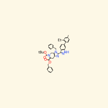 CCc1cc(C)ccc1-c1ccc2c(-c3nc4c(n3Cc3ccccc3)CN(C(=O)OC(C)(C)C)[C@H](C(=O)OCc3ccccc3)C4)n[nH]c2c1